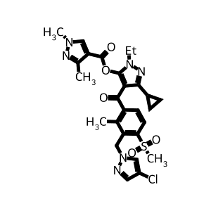 CCn1nc(C2CC2)c(C(=O)c2ccc(S(C)(=O)=O)c(Cn3cc(Cl)cn3)c2C)c1OC(=O)c1cn(C)nc1C